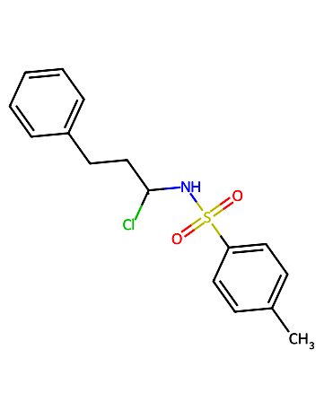 Cc1ccc(S(=O)(=O)N[C](Cl)CCc2ccccc2)cc1